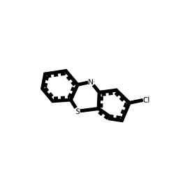 Clc1ccc2c(c1)[N]c1ccccc1S2